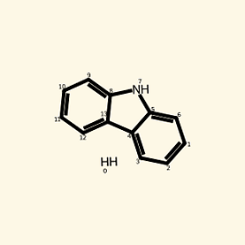 [HH].c1ccc2c(c1)[nH]c1ccccc12